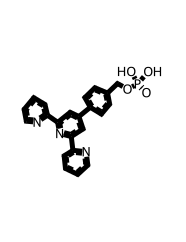 O=P(O)(O)OCc1ccc(-c2cc(-c3ccccn3)nc(-c3ccccn3)c2)cc1